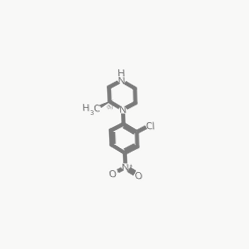 C[C@H]1CNCCN1c1ccc([N+](=O)[O-])cc1Cl